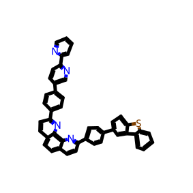 c1ccc(-c2ccc(-c3ccc(-c4ccc5ccc6ccc(-c7ccc(-c8ccc9sc%10ccccc%10c9c8)cc7)nc6c5n4)cc3)cn2)nc1